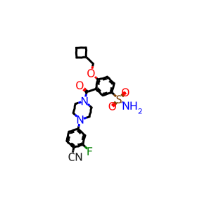 N#Cc1ccc(N2CCN(C(=O)c3cc(S(N)(=O)=O)ccc3OCC3CCC3)CC2)cc1F